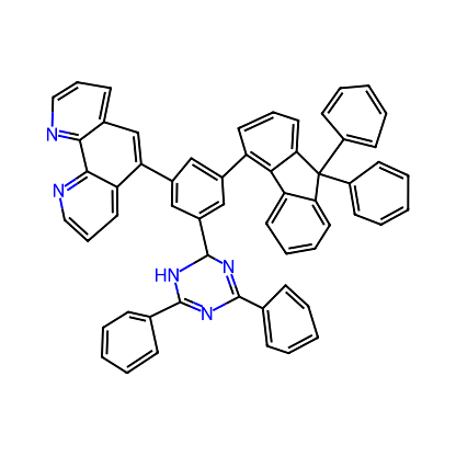 c1ccc(C2=NC(c3cc(-c4cccc5c4-c4ccccc4C5(c4ccccc4)c4ccccc4)cc(-c4cc5cccnc5c5ncccc45)c3)NC(c3ccccc3)=N2)cc1